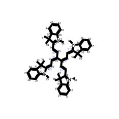 CN1/C(=C/C=C(/C=C/C2=[N+](C)c3ccccc3C2(C)C)C(=C/C=C2/N(C)c3ccccc3C2(C)C)\C=C\C2=[N+](C)c3ccccc3C2(C)C)C(C)(C)c2ccccc21